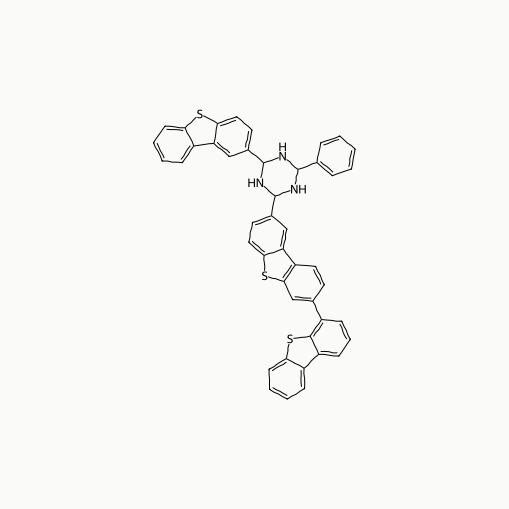 c1ccc(C2NC(c3ccc4sc5ccccc5c4c3)NC(c3ccc4sc5cc(-c6cccc7c6sc6ccccc67)ccc5c4c3)N2)cc1